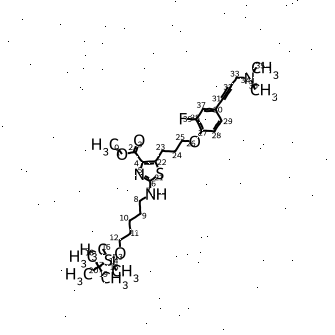 COC(=O)c1nc(NCCCCCO[Si](C)(C)C(C)(C)C)sc1CCCOc1ccc(C#CCN(C)C)cc1F